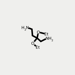 CCOC(CN)(CCN)OCC